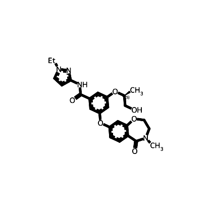 CCn1ccc(NC(=O)c2cc(Oc3ccc4c(c3)OCCN(C)C4=O)cc(O[C@@H](C)CO)c2)n1